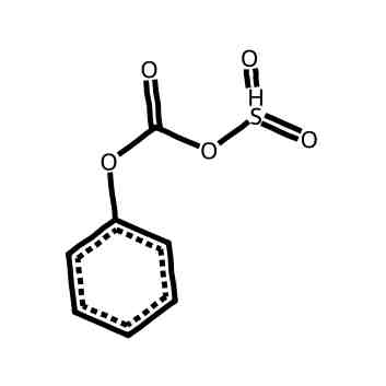 O=C(Oc1ccccc1)O[SH](=O)=O